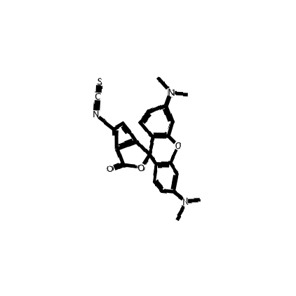 CN(C)c1ccc2c(c1)Oc1cc(N(C)C)ccc1C21OC(=O)c2cc(N=C=S)ccc21